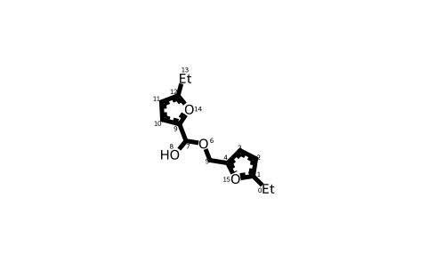 CCc1ccc(COC(O)c2ccc(CC)o2)o1